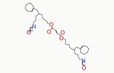 O=C=NCCCC(CCCCOC(=O)C=CC(=O)OCCCCC(CCCN=C=O)CC1=CCCCCC1)CC1=CCCCCC1